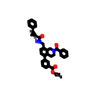 COC(=O)c1cccc(-c2ccc(CNC(=O)[C@H]3C[C@H]3c3ccccc3)c3c2CCN(C(=O)c2ccccc2)C3)c1